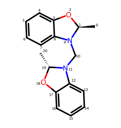 C[C@@H]1Oc2ccccc2N1CN1c2ccccc2O[C@@H]1C